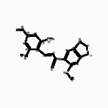 CCCOc1cc2c(cc1C(=O)/C=C/c1c(OC)cc(OC)cc1OC)OCS2